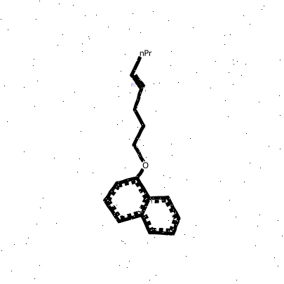 CCC/C=C/CCCOc1cccc2ccccc12